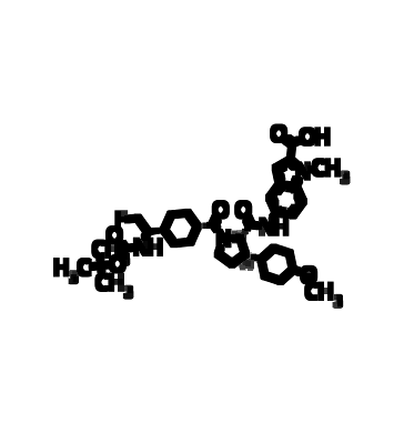 COC1CCC([C@@H]2CCN(C(=O)[C@H]3CC[C@H](C(CF)NC(=O)OC(C)(C)C)CC3)[C@@H]2C(=O)Nc2ccc3c(c2)cc(C(=O)O)n3C)CC1